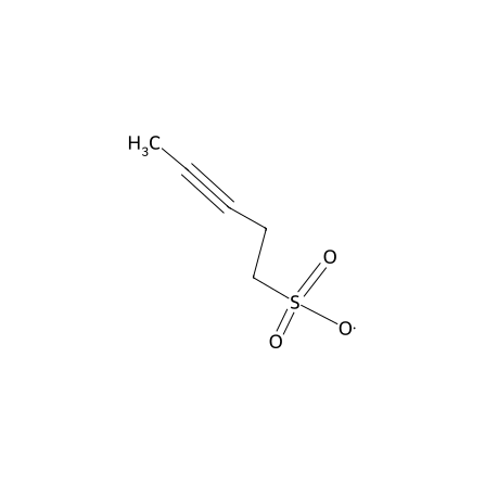 CC#CCCS([O])(=O)=O